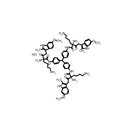 COc1ccc2c(CC(=O)[C@@](N)(CCCCN)C(=O)Nc3ccc(C(c4ccc(NC(=O)[C@](N)(CCCCN)C(=O)Cc5c(C)[nH]c6cc(OC)ccc56)cc4)c4ccc(NC(=O)[C@](N)(CCCCN)C(=O)Cc5c(C)[nH]c6cc(OC)ccc56)cc4)cc3)c(C)[nH]c2c1.Cl